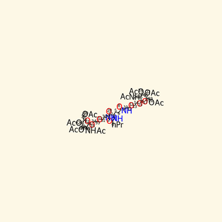 CCCC(=O)NC(CCC(=O)NCCOCCOC1OC(COC(C)=O)C(OC(C)=O)C(OC(C)=O)C1NC(C)=O)C(=O)NCCOCCOC1OC(COC(C)=O)C(OC(C)=O)C(OC(C)=O)C1NC(C)=O